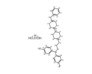 Cl.Cl.Cl.Fc1ccc(C(CCCN2CCC(N3CCN(Cc4ccccc4)CC3)CC2)c2ccc(F)cc2)cc1